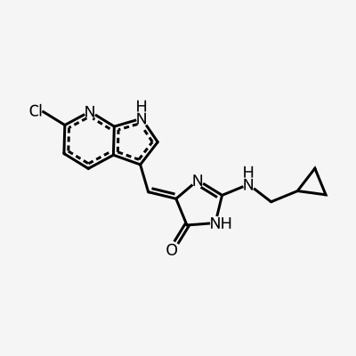 O=C1NC(NCC2CC2)=NC1=Cc1c[nH]c2nc(Cl)ccc12